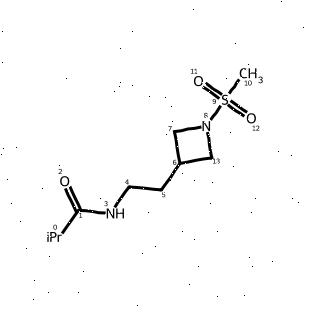 CC(C)C(=O)NCCC1CN(S(C)(=O)=O)C1